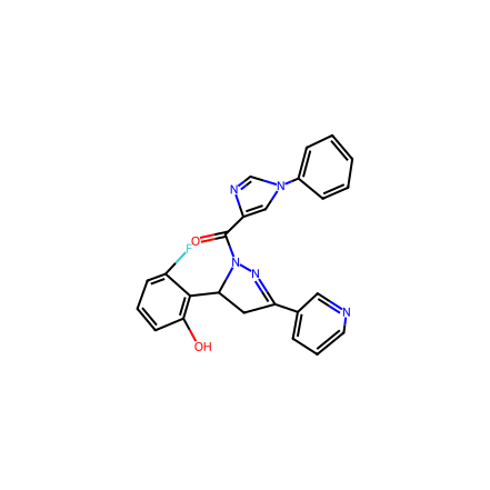 O=C(c1cn(-c2ccccc2)cn1)N1N=C(c2cccnc2)CC1c1c(O)cccc1F